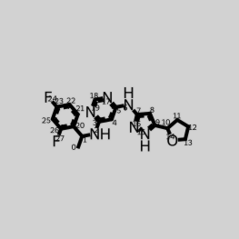 CC(Nc1cc(Nc2cc(C3CCCO3)[nH]n2)ncn1)c1ccc(F)cc1F